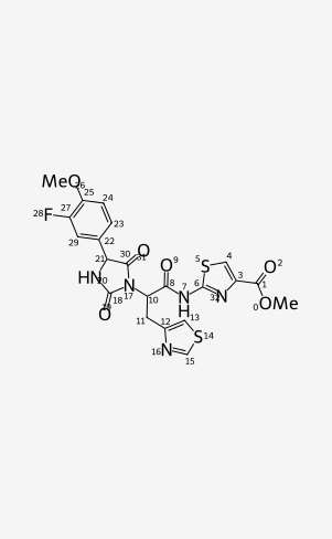 COC(=O)c1csc(NC(=O)C(Cc2cscn2)N2C(=O)NC(c3ccc(OC)c(F)c3)C2=O)n1